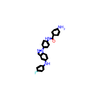 Nc1ccc(C(=O)Nc2ccc(-n3ncc4cc(Nc5ccc(F)cc5)ccc43)cc2)cc1